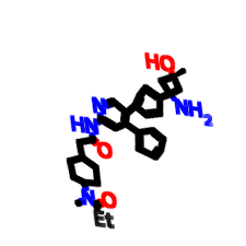 CCC(=O)N(C)C1CCC(CC(=O)Nc2cc(-c3ccccc3)c(-c3ccc([C@]4(N)C[C@](C)(O)C4)cc3)cn2)CC1